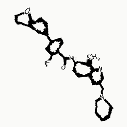 Cc1c(NC(=O)c2ccc(-c3ccc4c(c3)CCO4)cc2F)ccc2cc(CN3CCCCC3)cnc12